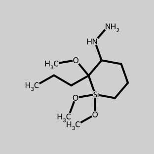 CCCC1(OC)C(NN)CCC[Si]1(OC)OC